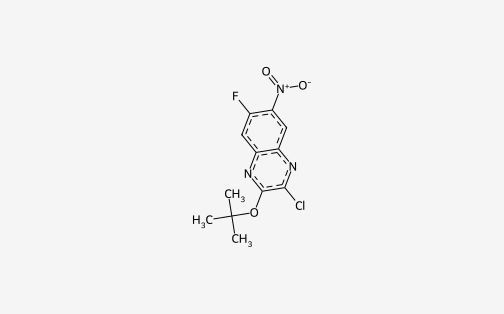 CC(C)(C)Oc1nc2cc(F)c([N+](=O)[O-])cc2nc1Cl